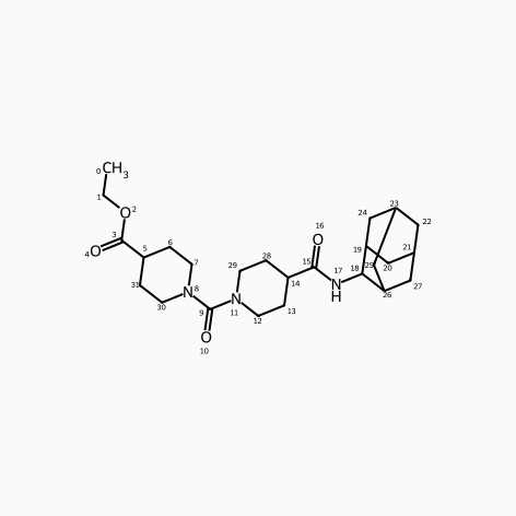 CCOC(=O)C1CCN(C(=O)N2CCC(C(=O)NC3C4CC5CC(C4)CC3C5)CC2)CC1